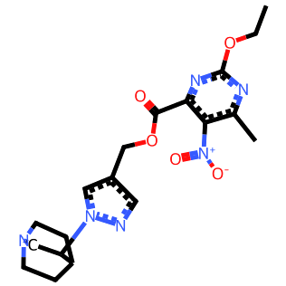 CCOc1nc(C)c([N+](=O)[O-])c(C(=O)OCc2cnn(C3CN4CCC3CC4)c2)n1